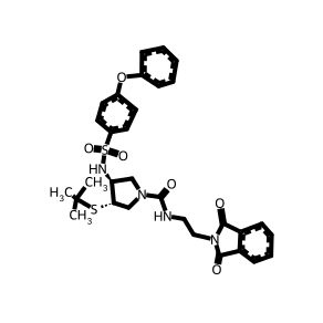 CC(C)(C)S[C@H]1CN(C(=O)NCCN2C(=O)c3ccccc3C2=O)C[C@@H]1NS(=O)(=O)c1ccc(Oc2ccccc2)cc1